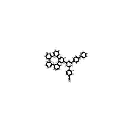 N#Cc1ccc(-c2nc(-c3ccc(-c4ccccn4)cc3)cc(-c3ccc4c5ccccc5c5ccccc5c5ccccc5c5ccccc5c4c3)n2)cc1